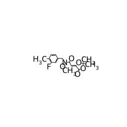 CON(Cc1ccc(C)c(F)c1)C(=O)C=C1OC(C)(C)OC1=O